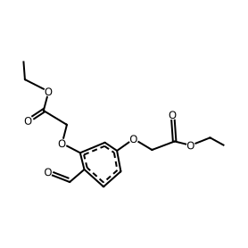 CCOC(=O)COc1ccc(C=O)c(OCC(=O)OCC)c1